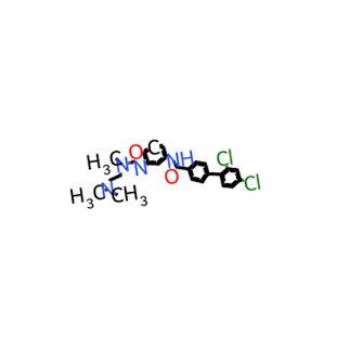 CN(C)CCN(C)c1nc2cc(NC(=O)c3ccc(-c4ccc(Cl)cc4Cl)cc3)ccc2o1